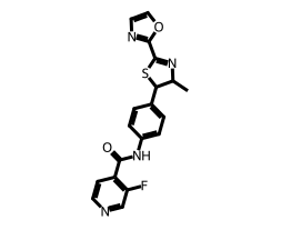 CC1N=C(c2ncco2)SC1c1ccc(NC(=O)c2ccncc2F)cc1